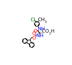 Cc1cc(NC(=O)[C@H](CC(=O)O)NC(=O)OCC2c3ccccc3-c3ccccc32)ccc1Cl